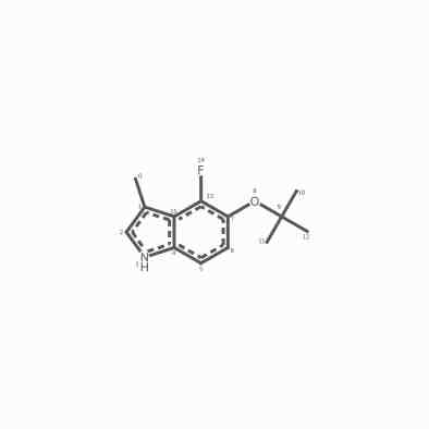 Cc1c[nH]c2ccc(OC(C)(C)C)c(F)c12